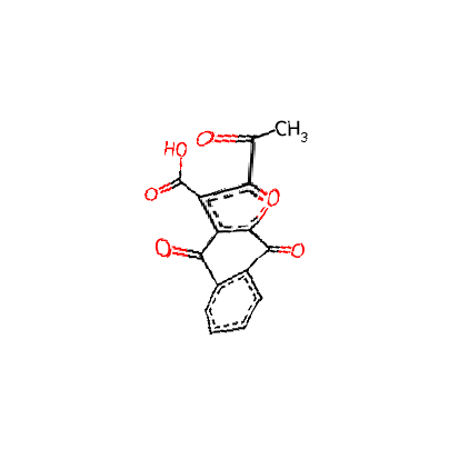 CC(=O)c1oc2c(c1C(=O)O)C(=O)c1ccccc1C2=O